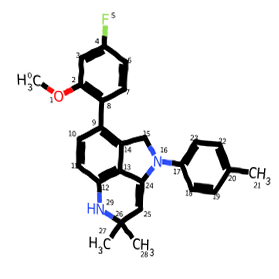 COc1cc(F)ccc1-c1ccc2c3c1CN(c1ccc(C)cc1)C3=CC(C)(C)N2